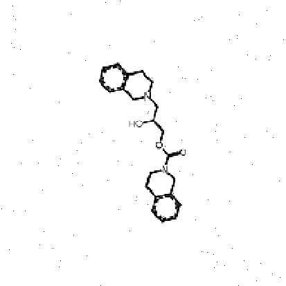 O=C(OCC(O)CN1CCc2ccccc2C1)N1CCc2ccccc2C1